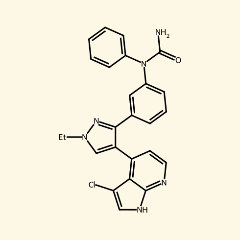 CCn1cc(-c2ccnc3[nH]cc(Cl)c23)c(-c2cccc(N(C(N)=O)c3ccccc3)c2)n1